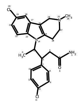 CC(C(CC(N)=O)c1ccc(Cl)cc1)n1c2c(c3cc(Cl)ccc31)CN(C)CC2